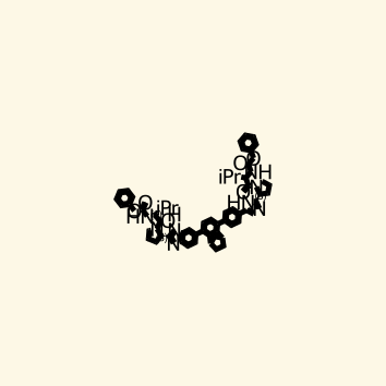 CC(C)C(NC(=O)Oc1ccccc1)C(=O)N1CCC[C@H]1c1ncc(-c2ccc(-c3ccc(-c4ccc5nc([C@@H]6CCCN6C(=O)[C@@H](NC(=O)Oc6ccccc6)C(C)C)[nH]c5c4)c4c3C3CCC4C3)cc2)[nH]1